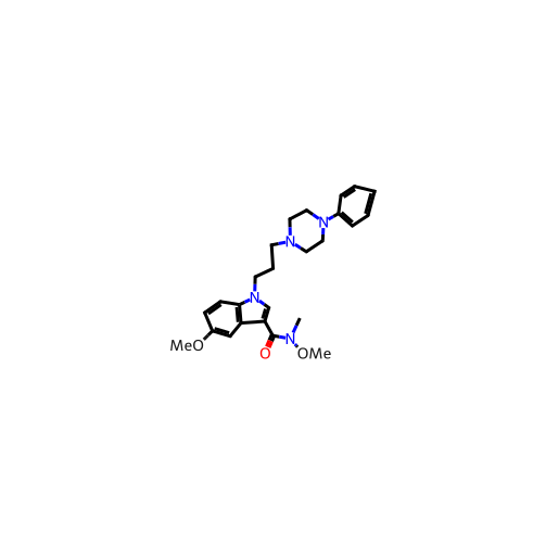 COc1ccc2c(c1)c(C(=O)N(C)OC)cn2CCCN1CCN(c2ccccc2)CC1